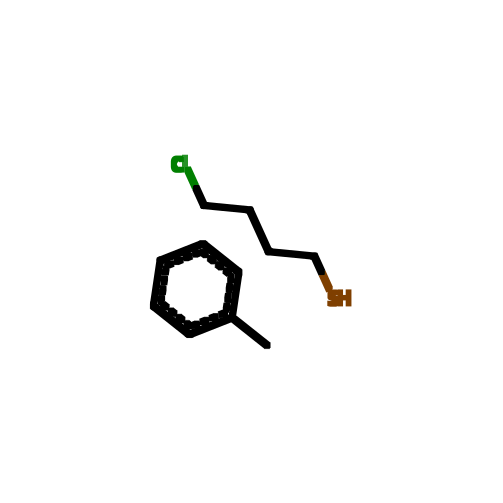 Cc1ccccc1.SCCCCCl